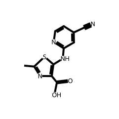 Cc1nc(C(=O)O)c(Nc2cc(C#N)ccn2)s1